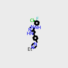 CCN1CCN(Cc2ccc(-c3cc4c(Nc5ccc(F)c(Cl)c5)ncnc4[nH]3)cc2)CC1